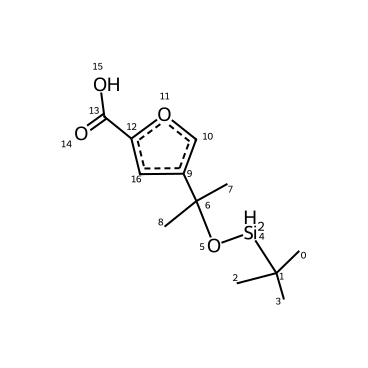 CC(C)(C)[SiH2]OC(C)(C)c1coc(C(=O)O)c1